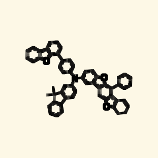 CC1(C)c2ccccc2-c2ccc(N(c3ccc(-c4cccc5c4oc4ccccc45)cc3)c3ccc4oc5c(-c6ccccc6)c6c7c(oc6cc5c4c3)CCC=C7)cc21